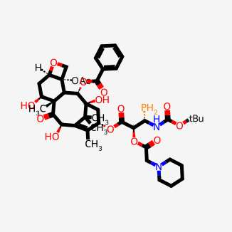 CC(=O)O[C@@]12CO[C@@H]1C[C@H](O)[C@@]1(C)C(=O)[C@H](O)C3=C(C)[C@@H](OC(=O)[C@H](OC(=O)CN4CCCCC4)[C@H](P)NC(=O)OC(C)(C)C)C[C@@](O)([C@@H](OC(=O)c4ccccc4)C12)C3(C)C